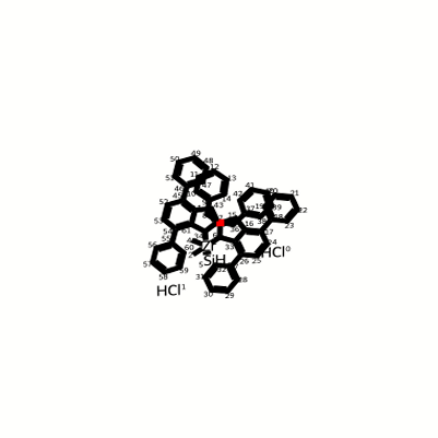 Cl.Cl.[CH3][Zr]([CH3])(=[SiH2])([CH]1C(Cc2ccccc2)=Cc2c(-c3ccccc3)ccc(-c3ccccc3)c21)[CH]1C(Cc2ccccc2)=Cc2c(-c3ccccc3)ccc(-c3ccccc3)c21